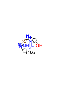 COc1ccc(Cn2ncc(SSc3cnn(Cc4ccc(CO)cc4)c3N)c2N)cc1